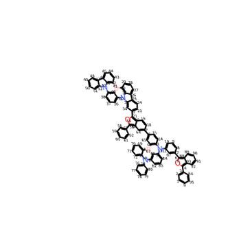 c1ccc(-c2oc(-c3cccc(N4c5ccc(-c6ccc7c(-c8ccc9c%10cccc%11c%10n(c9c8)-c8cccc9c8B%11c8cccc%10c%11ccccc%11n-9c8%10)oc(-c8ccccc8)c7c6)cc5B5c6ccccc6N(c6ccccc6)c6cccc4c65)c3)c3ccccc23)cc1